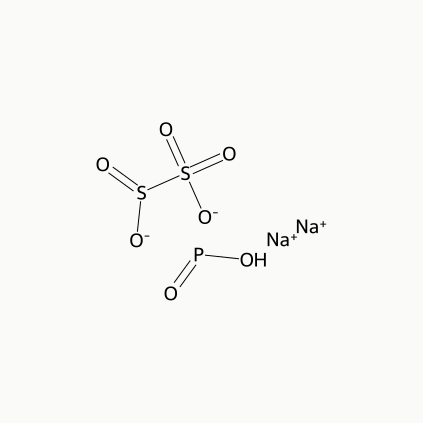 O=PO.O=S([O-])S(=O)(=O)[O-].[Na+].[Na+]